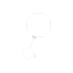 C1CCCN(C2CCS2)CCC1